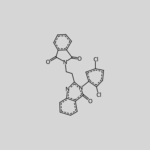 O=C1c2ccccc2C(=O)N1CCc1nc2ccccc2c(=O)n1-c1cc(Cl)ccc1Cl